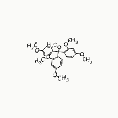 COc1ccc(C(OC)(c2ccc(OC)cc2OC)c2ccc(OC)cc2OC)cc1